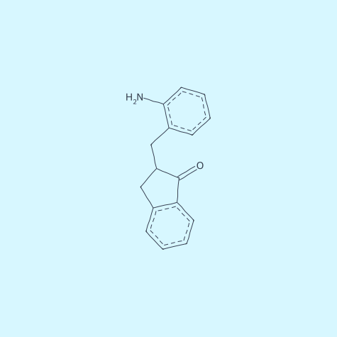 Nc1ccccc1CC1Cc2ccccc2C1=O